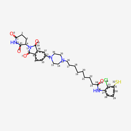 O=C1CCC(N2C(=O)c3ccc(N4CCN(CCCCCCCCC(=O)Nc5cccc(S)c5Cl)CC4)cc3C2=O)C(=O)N1